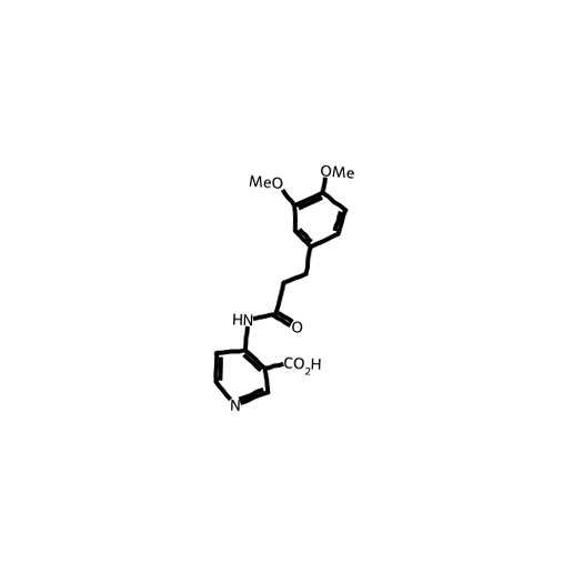 COc1ccc(CCC(=O)Nc2ccncc2C(=O)O)cc1OC